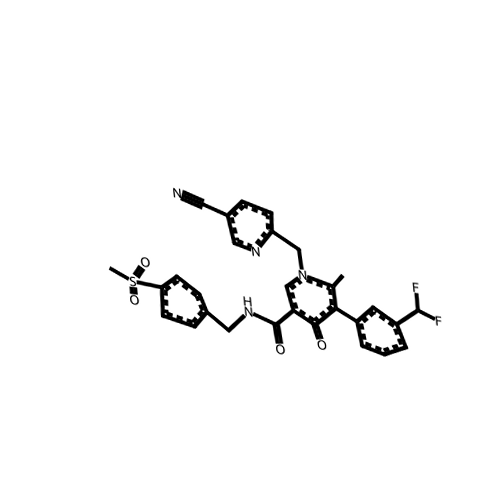 Cc1c(-c2cccc(C(F)F)c2)c(=O)c(C(=O)NCc2ccc(S(C)(=O)=O)cc2)cn1Cc1ccc(C#N)cn1